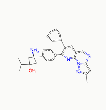 Cc1cc2ncc3cc(-c4ccccc4)c(-c4ccc([C@]5(N)C[C@@](O)(C(C)C)C5)cc4)nc3n2n1